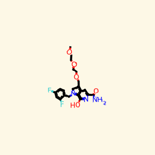 COCCOCCOCc1cn(Cc2ccc(F)cc2F)c2c(O)nc(C(N)=O)cc12